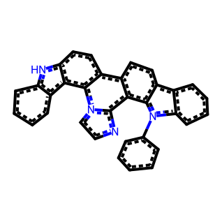 c1ccc(-n2c3ccccc3c3ccc4c5ccc6[nH]c7ccccc7c6c5n5ccnc5c4c32)cc1